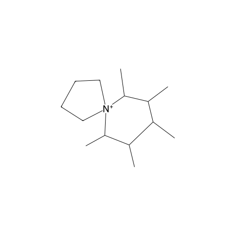 CC1C(C)C(C)[N+]2(CCCC2)C(C)C1C